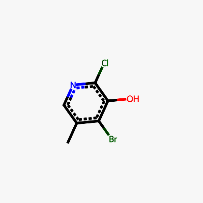 Cc1cnc(Cl)c(O)c1Br